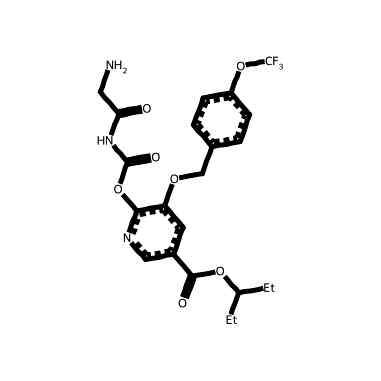 CCC(CC)OC(=O)c1cnc(OC(=O)NC(=O)CN)c(OCc2ccc(OC(F)(F)F)cc2)c1